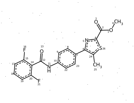 COC(=O)c1nc(-c2ccc(NC(=O)c3c(F)cccc3F)cc2)c(C)s1